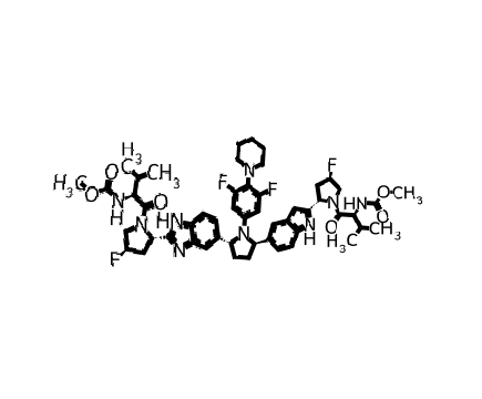 COC(=O)N[C@H](C(=O)N1C[C@H](F)C[C@H]1c1cc2cc([C@H]3CC[C@H](c4ccc5[nH]c([C@@H]6C[C@@H](F)CN6C(=O)[C@@H](NC(=O)OC)C(C)C)nc5c4)N3c3cc(F)c(N4CCCCC4)c(F)c3)ccc2[nH]1)C(C)C